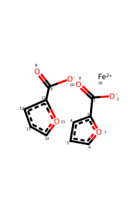 O=C([O-])c1ccco1.O=C([O-])c1ccco1.[Fe+2]